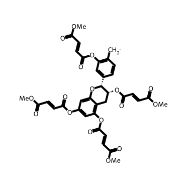 [CH2]c1ccc([C@H]2Oc3cc(OC(=O)/C=C/C(=O)OC)cc(OC(=O)/C=C/C(=O)OC)c3C[C@H]2OC(=O)/C=C/C(=O)OC)cc1OC(=O)/C=C/C(=O)OC